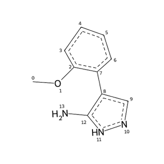 COc1ccccc1-c1cn[nH]c1N